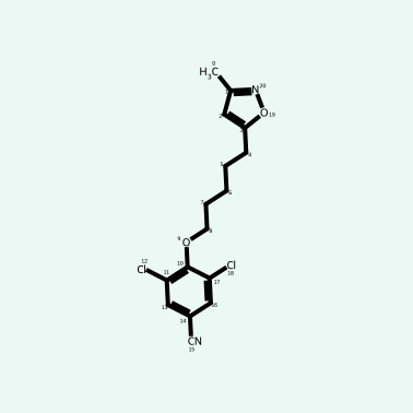 Cc1cc(CCCCCOc2c(Cl)cc(C#N)cc2Cl)on1